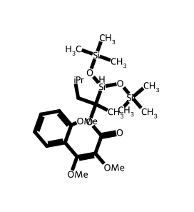 COC(C(=O)OC(C)(CC(C)C)[SiH](O[Si](C)(C)C)O[Si](C)(C)C)=C(OC)c1ccccc1OC